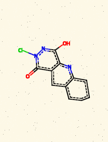 O=c1c2cc3ccccc3nc2c(O)nn1Cl